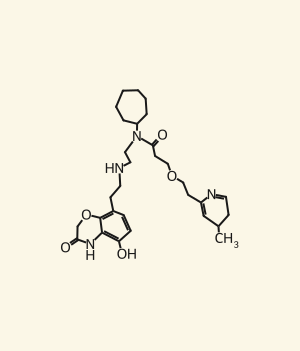 CC1C=C(CCOCCC(=O)N(CCNCCc2ccc(O)c3c2OCC(=O)N3)C2CCCCCC2)N=CC1